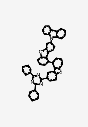 c1ccc(-c2nc(-c3ccccc3)nc(-c3ccc4sc5cccc(-c6cccc7oc8cc(-n9c%10ccccc%10c%10ccccc%109)ccc8c67)c5c4c3)n2)cc1